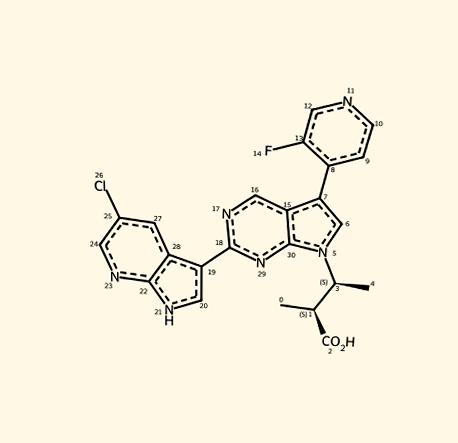 C[C@H](C(=O)O)[C@H](C)n1cc(-c2ccncc2F)c2cnc(-c3c[nH]c4ncc(Cl)cc34)nc21